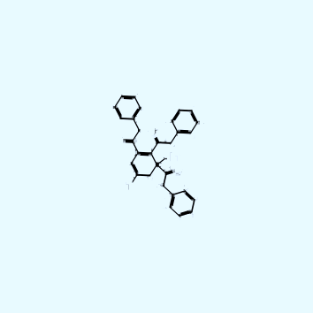 CC(C)C1=CC(C(=O)Cc2ccccc2)=C(C(=O)Cc2ccccc2)C(C(=O)Cc2ccccc2)(C(C)C)[CH]1